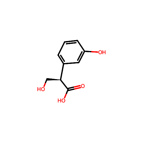 O=C(O)[C@@H](CO)c1cccc(O)c1